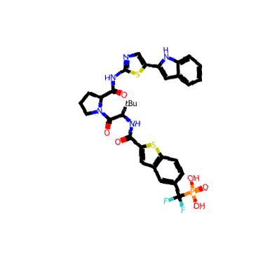 CC(C)(C)C(NC(=O)c1cc2cc(C(F)(F)P(=O)(O)O)ccc2s1)C(=O)N1CCCC1C(=O)Nc1ncc(-c2cc3ccccc3[nH]2)s1